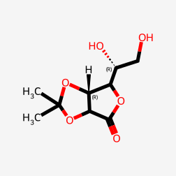 CC1(C)OC2C(=O)OC([C@H](O)CO)[C@H]2O1